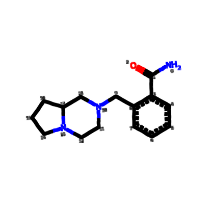 NC(=O)c1ccccc1CN1CCN2CCCC2C1